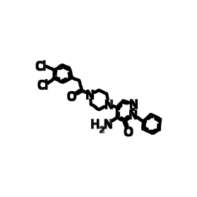 Nc1c(N2CCN(C(=O)Cc3ccc(Cl)c(Cl)c3)CC2)cnn(-c2ccccc2)c1=O